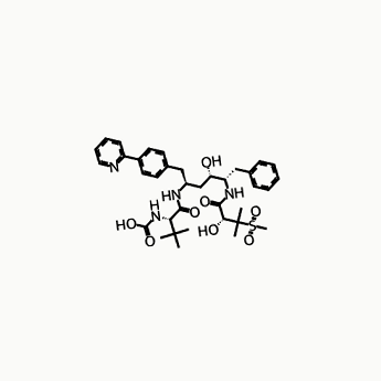 CC(C)(C)[C@H](NC(=O)O)C(=O)N[C@@H](Cc1ccc(-c2ccccn2)cc1)C[C@H](O)[C@H](Cc1ccccc1)NC(=O)[C@@H](O)C(C)(C)S(C)(=O)=O